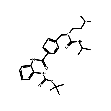 CC(C)NC(=O)N(CCN(C)C)Cc1ccc(C(=O)Nc2ccccc2NC(=O)OC(C)(C)C)nc1